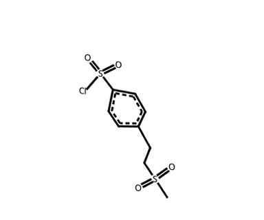 CS(=O)(=O)CCc1ccc(S(=O)(=O)Cl)cc1